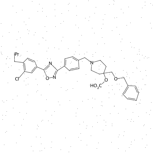 CC(C)Cc1ccc(-c2nc(-c3ccc(CN4CCC(COCc5ccccc5)(OC(=O)O)CC4)cc3)no2)cc1Cl